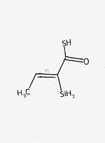 C/C=C(\[SiH3])C(=O)S